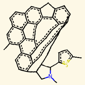 Cc1ccc(C2C3c4cc5c6c7c(cc8ccc9cc(C)c%10c%11ccc(c%12c4c6c(c%11%12)c4c%10c9c8c74)C3CN2C)C5)s1